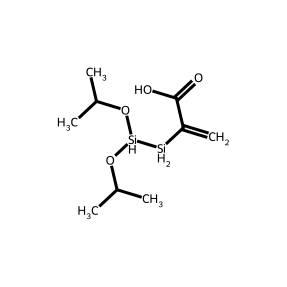 C=C([SiH2][SiH](OC(C)C)OC(C)C)C(=O)O